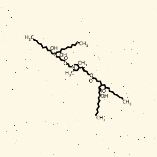 CCCCCCCCC(O)C/C=C/C(CCCC(=O)OCC/C=C/C1CC(C)N(CCOC(=O)CCCN(CC(O)CCCCCCCC)CC(O)CCCCCCCC)CC1C)CC(O)CCCCCCCC